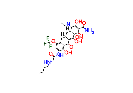 CCCCNCC(=O)Nc1cc(OC(F)(F)F)c2c(c1O)C(=O)C1=C(O)[C@]3(O)C(=O)C(C(N)=O)=C(O)[C@@H](N(C)CC)[C@@H]3C[C@@H]1C2